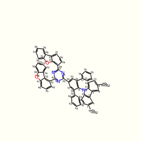 CC(C)(C)c1ccc2c(c1)c1cc(C(C)(C)C)ccc1n2-c1c(-c2ccccc2)cc(-c2nc(-c3cccc4c3oc3ccccc34)nc(-c3cccc4oc5ccccc5c34)n2)cc1-c1ccccc1